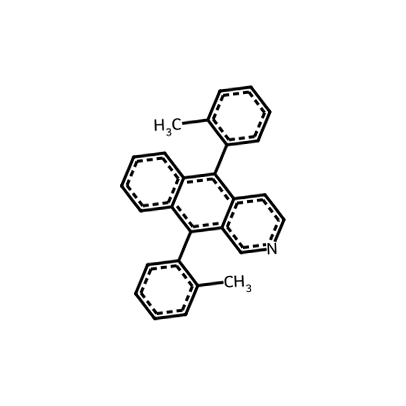 Cc1ccccc1-c1c2ccccc2c(-c2ccccc2C)c2cnccc12